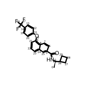 C[C@@H](NC(=O)c1ccc2c(Oc3ccc(C(F)(F)F)cc3)cccc2c1)C1CCC1